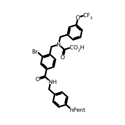 CCCCCc1ccc(CNC(=O)c2ccc(CN(Cc3cccc(OC(F)(F)F)c3)C(=O)C(=O)O)c(Br)c2)cc1